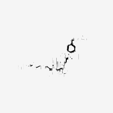 CCCOCCOCC(=O)NC(C(=O)NCC(=O)Nc1ccc(COC(C)=O)cc1)C(C)C